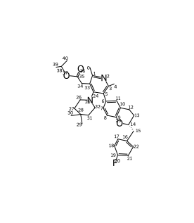 Cc1nc(C)c(-c2ccc3c(c2)CC[C@H](Cc2ccc(F)cc2)O3)c(N2CCC(C)(C)CC2)c1CC(=O)OC(C)C